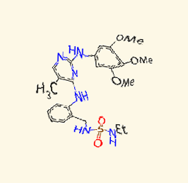 CCNS(=O)(=O)NCc1ccccc1Nc1nc(Nc2cc(OC)c(OC)c(OC)c2)ncc1C